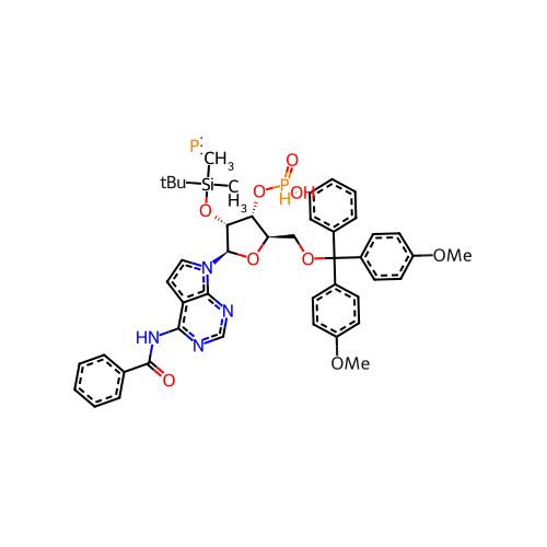 COc1ccc(C(OC[C@H]2O[C@@H](n3ccc4c(NC(=O)c5ccccc5)ncnc43)[C@H](O[Si](C)(C)C(C)(C)C)[C@@H]2O[PH](=O)O)(c2ccccc2)c2ccc(OC)cc2)cc1.[P]